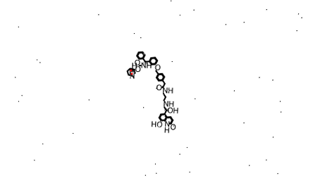 O=C(Cc1ccc(COc2cccc([C@@H](NC(=O)O[C@H]3CN4CCC3CC4)c3ccccc3)c2)cc1)NCCCNC[C@H](O)c1ccc(O)c2[nH]c(=O)ccc12